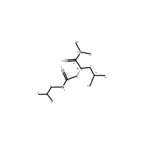 CC(C)C[N]C(=O)C[C@@H](CC(C)C)C(=O)N(C)C